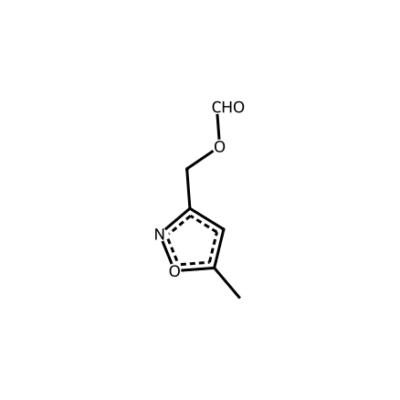 Cc1cc(COC=O)no1